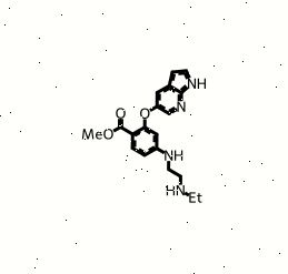 CCNCCNc1ccc(C(=O)OC)c(Oc2cnc3[nH]ccc3c2)c1